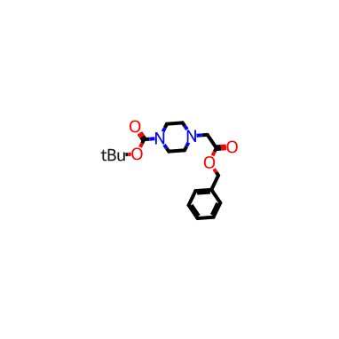 CC(C)(C)OC(=O)N1CCN(CC(=O)OCc2ccccc2)CC1